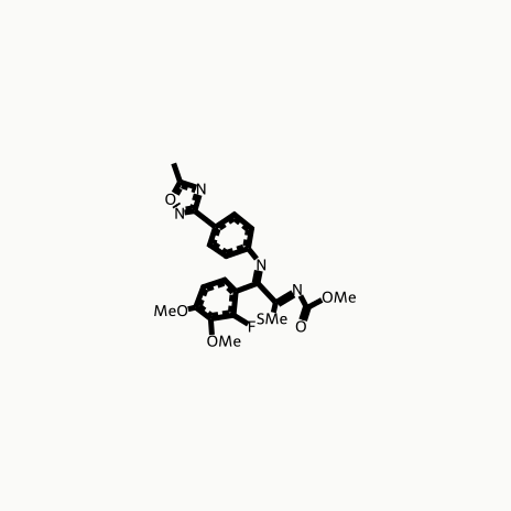 COC(=O)N=C(SC)C(=Nc1ccc(-c2noc(C)n2)cc1)c1ccc(OC)c(OC)c1F